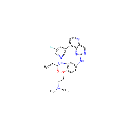 C=CC(=O)Nc1cc(Nc2ncc3nccc(-c4cncc(F)c4)c3n2)ccc1OCCN(C)C